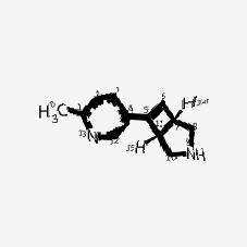 Cc1ccc(C2=C[C@@H]3CNC[C@H]23)cn1